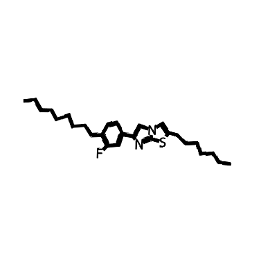 CCCCCCCCCc1ccc(-c2cn3cc(CCCCCCC)sc3n2)cc1F